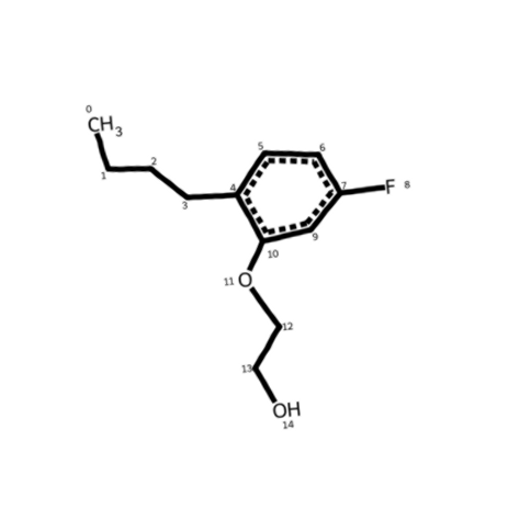 CCCCc1ccc(F)cc1OCCO